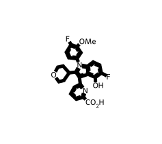 COc1cc(-n2c(C3CCOCC3)c(-c3cccc(C(=O)O)n3)c3c(O)c(F)ccc32)ccc1F